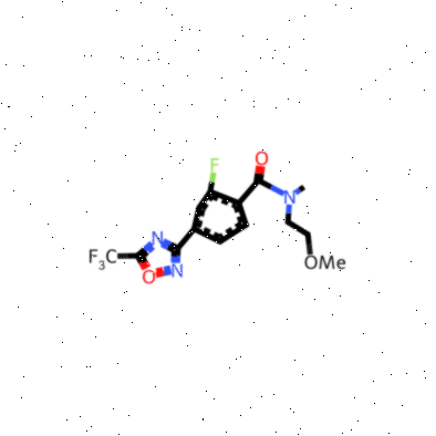 COCCN(C)C(=O)c1ccc(-c2noc(C(F)(F)F)n2)cc1F